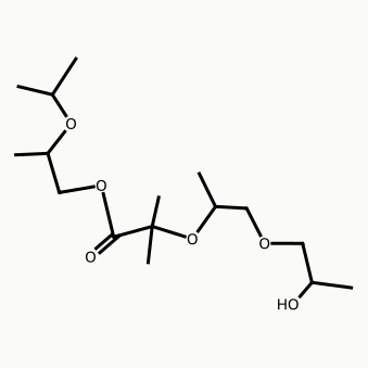 CC(O)COCC(C)OC(C)(C)C(=O)OCC(C)OC(C)C